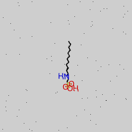 CCCCCCCCCCCCNCCS(=O)(=O)O